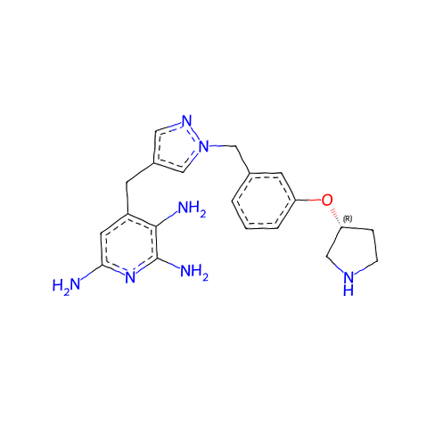 Nc1cc(Cc2cnn(Cc3cccc(O[C@@H]4CCNC4)c3)c2)c(N)c(N)n1